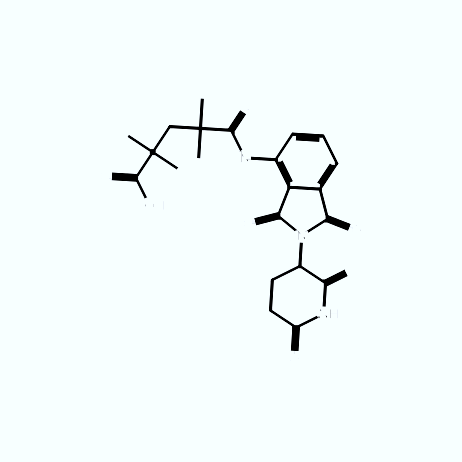 CC(C)(CC(C)(C)C(=O)Nc1cccc2c1C(=O)N(C1CCC(=O)NC1=O)C2=O)C(=O)O